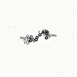 COC(=O)N[C@H](C(=O)N1[C@H](C)[C@H](C)C[C@H]1c1nc2ccc3cc(-c4ccc(-c5cnc([C@@H]6[C@H]7CC[C@H](C7)N6C(=O)[C@H](NC(=O)OC)c6ccccc6)[nH]5)c(F)c4)ccc3c2[nH]1)C(C)C